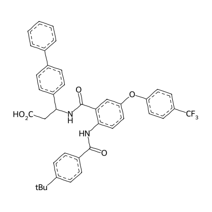 CC(C)(C)c1ccc(C(=O)Nc2ccc(Oc3ccc(C(F)(F)F)cc3)cc2C(=O)NC(CC(=O)O)c2ccc(-c3ccccc3)cc2)cc1